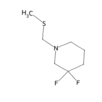 CSCN1CCCC(F)(F)C1